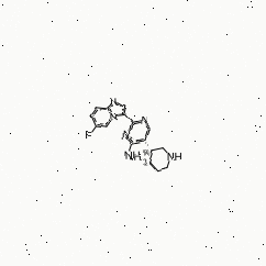 Nc1nc(-c2cnc3ccc(F)cn23)ncc1[C@H]1CCCNC1